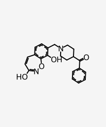 O=C(c1ccccc1)C1CCN(Cc2ccc3c(c2O)ON=C(O)C=C3)CC1